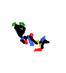 Cc1nc(SCC(=O)NC[C@H]2CN(Cc3ccc(Cl)c(Cl)c3)CCO2)sc1CO